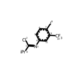 CC(C)C(Cl)=Nc1ccc(I)c(C(F)(F)F)c1